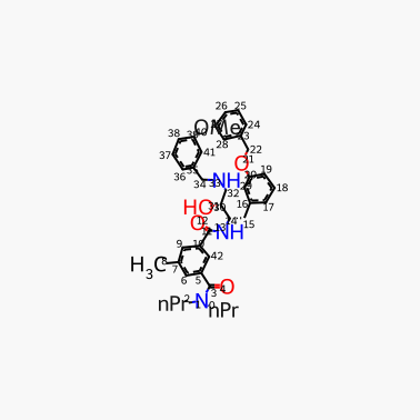 CCCN(CCC)C(=O)c1cc(C)cc(C(=O)N[C@@H](Cc2cccc(OCc3ccccc3)c2)[C@H](O)CNCc2cccc(OC)c2)c1